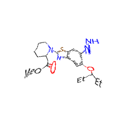 CCC(CC)Oc1cc2nc(N3CCCCC3C(=O)OC)sc2cc1N=N